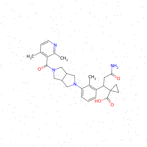 Cc1ccnc(C)c1C(=O)N1CC2CN(c3cccc(C(CC(N)=O)C4(C(=O)O)CC4)c3C)CC2C1